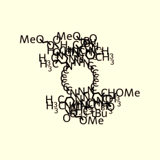 COCCOC(=O)CON1C(C)(C)CC(N2CCCCCCN(C3CC(C)(C)N(CC(=O)OCCOC)C(C)(C)C3)c3nc(NC(C)(C)CC(C)(C)C)nc(n3)N(C3CC(C)(C)N(CC(=O)OCCOC)C(C)(C)C3)CCCCCCN(C3CC(C)(C)N(CC(=O)OCCOC)C(C)(C)C3)c3nc(NC(C)(C)CC(C)(C)C)nc2n3)CC1(C)C